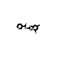 Cc1cc(Cl)n2nc(NC(=O)c3cccnc3)nc2c1